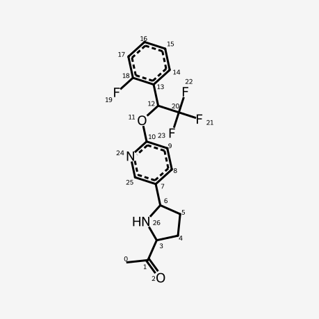 CC(=O)C1CCC(c2ccc(OC(c3ccccc3F)C(F)(F)F)nc2)N1